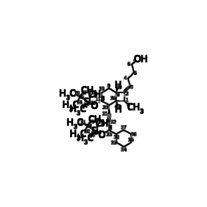 CC1/C(=C/CCCO)[C@H]2CC[C@@H](O[Si](C)(C)C(C)(C)C)[C@H](C#CC(O[Si](C)(C)C(C)(C)C)C3CCCCC3)[C@@H]12